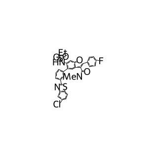 CCS(=O)(=O)Nc1cc2oc(-c3ccc(F)cc3)c(C(=O)NC)c2cc1-c1cccc(-c2nc3cc(Cl)ccc3s2)c1